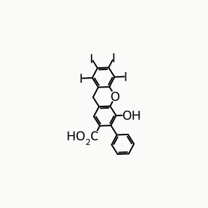 O=C(O)c1cc2c(c(O)c1-c1ccccc1)Oc1c(I)c(I)c(I)c(I)c1C2